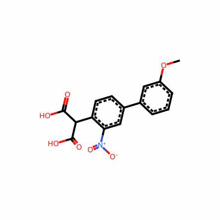 COc1cccc(-c2ccc(C(C(=O)O)C(=O)O)c([N+](=O)[O-])c2)c1